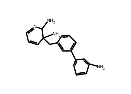 Nc1cccc(-c2cccc(CC3(N)C=CC=NC3N)c2)c1